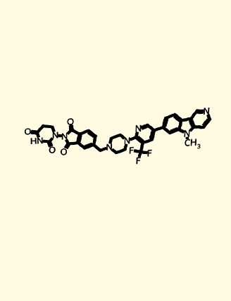 Cn1c2ccncc2c2ccc(-c3cnc(N4CCN(Cc5ccc6c(c5)C(=O)N(N5CCC(=O)NC5=O)C6=O)CC4)c(C(F)(F)F)c3)cc21